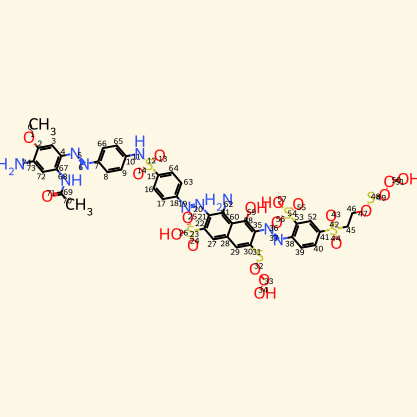 COc1cc(/N=N/c2ccc(NS(=O)(=O)c3ccc(/N=N/c4c(S(=O)(=O)O)cc5cc(SOOO)c(/N=N/c6ccc(S(=O)(=O)CCOSOOO)cc6S(=O)(=O)O)c(O)c5c4N)cc3)cc2)c(NC(C)=O)cc1N